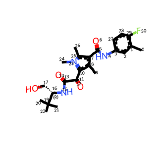 Cc1cc(NC(=O)c2c(C)c(C(=O)C(=O)N[C@@H](CO)C(C)(C)C)n(C)c2C)ccc1F